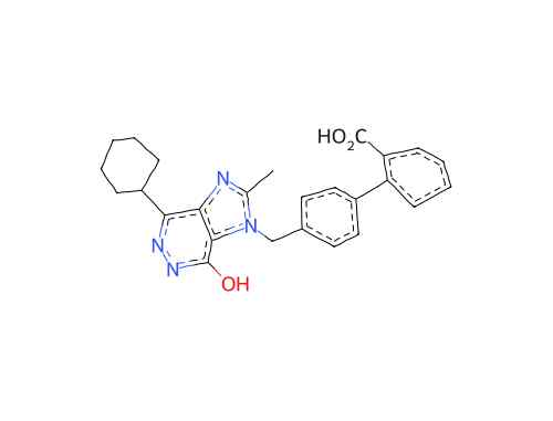 Cc1nc2c(C3CCCCC3)nnc(O)c2n1Cc1ccc(-c2ccccc2C(=O)O)cc1